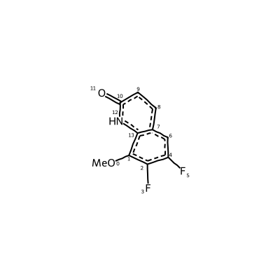 COc1c(F)c(F)cc2ccc(=O)[nH]c12